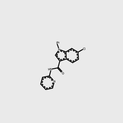 CC(C)n1cc(C(=O)Nc2ccccn2)c2ccc(Cl)cc21